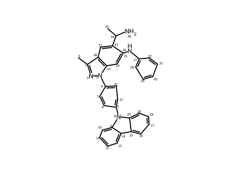 Cc1nn(-c2ccc(-n3c4ccccc4c4ccccc43)cc2)c2cc(Nc3ccccc3)c(C(C)N)cc12